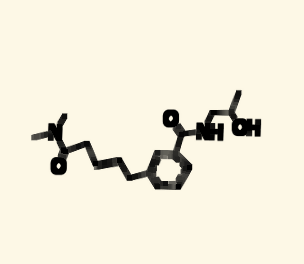 CC(O)CNC(=O)c1cccc(CC=CCC(=O)N(C)C)c1